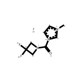 C[n+]1ccn(C(=O)N2CC(F)(F)C2)c1.[I-]